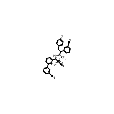 C[C@H](NC(c1cccc(-c2cccc(C#N)c2)c1)C(C)(C)C#N)[C@@H](Cc1ccc(Cl)cc1)c1cccc(C#N)c1